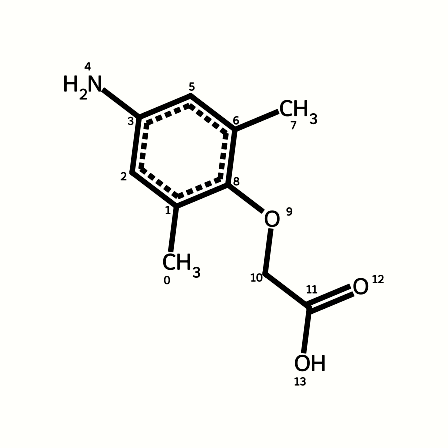 Cc1cc(N)cc(C)c1OCC(=O)O